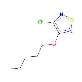 CCCCCOc1nsnc1Cl